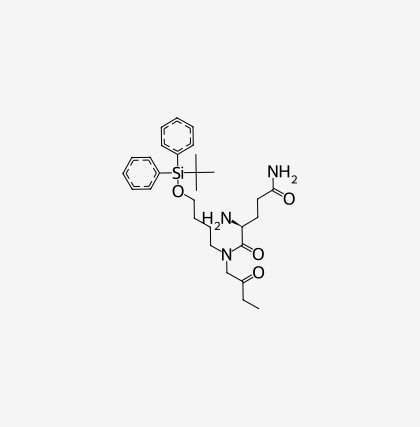 CCC(=O)CN(CCCCO[Si](c1ccccc1)(c1ccccc1)C(C)(C)C)C(=O)[C@@H](N)CCC(N)=O